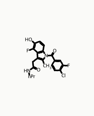 CCCNC(=O)Cc1c(C)n(C(=O)c2ccc(Cl)c(F)c2)c2ccc(O)c(F)c12